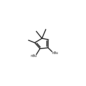 CCCCC1=[C]C(C)(C)C(C)=C1CCCC